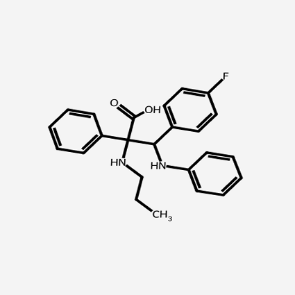 CCCNC(C(=O)O)(c1ccccc1)C(Nc1ccccc1)c1ccc(F)cc1